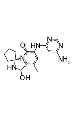 Cc1cc(Nc2cc(N)ncn2)c(=O)n2c1C(O)NC21CCCC1